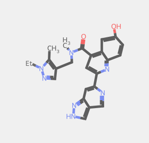 CCn1ncc(CN(C)C(=O)c2cc(-c3cc4n[nH]cc4cn3)nc3ccc(O)cc23)c1C